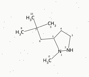 CN1NCCC1CC(C)(C)C